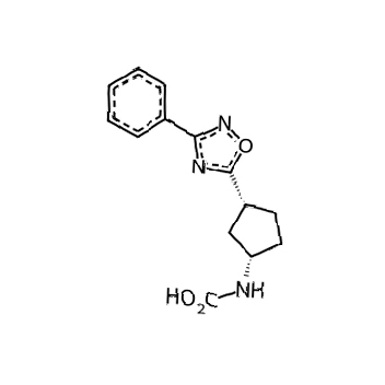 O=C(O)N[C@H]1CC[C@@H](c2nc(-c3ccccc3)no2)C1